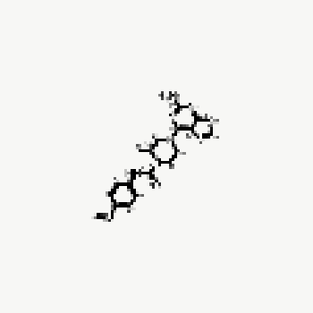 COc1ccc(NC(=O)N2CCN(c3nc(N)nc4scnc34)CC2C)cc1